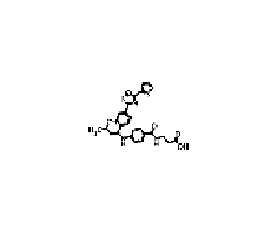 CC(C)CC(Nc1ccc(C(=O)NCCC(=O)O)cc1)c1ccc(-c2noc(-c3cccs3)n2)cc1